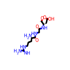 N=C(N)NCCC[C@H](N)C(=O)NCC(=O)N[C@H]([C]=O)CC(=O)O